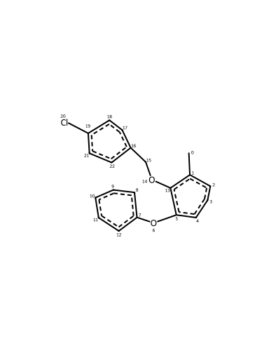 Cc1cccc(Oc2ccccc2)c1OCc1ccc(Cl)cc1